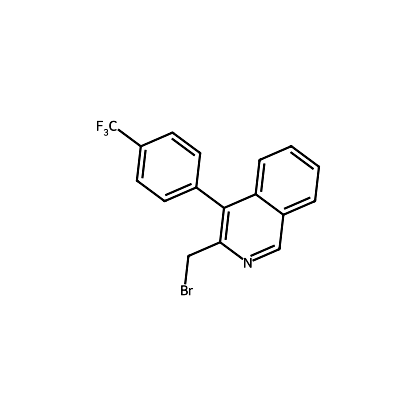 FC(F)(F)c1ccc(-c2c(CBr)ncc3ccccc23)cc1